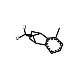 Cc1cccc2c1C1CCC2C1=C(Cl)Cl